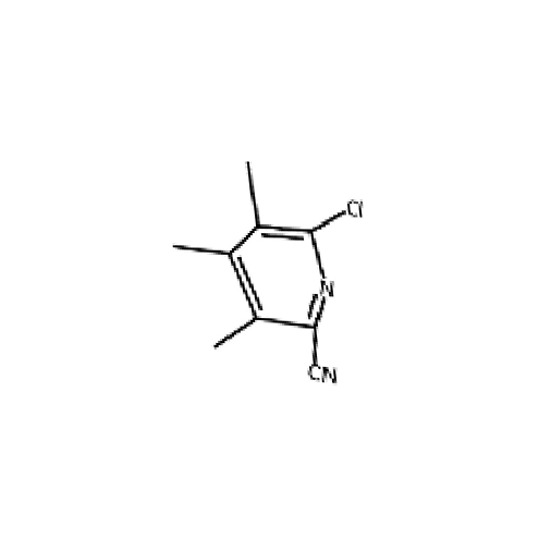 Cc1c(Cl)nc(C#N)c(C)c1C